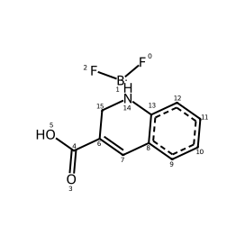 F[B]F.O=C(O)C1=Cc2ccccc2NC1